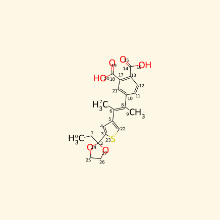 CCC1(c2cc(/C(C)=C(\C)c3ccc(C(=O)O)c(C(=O)O)c3)cs2)OCCO1